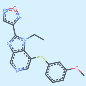 CCn1c(-c2cnon2)nc2cncc(Sc3cccc(OC)c3)c21